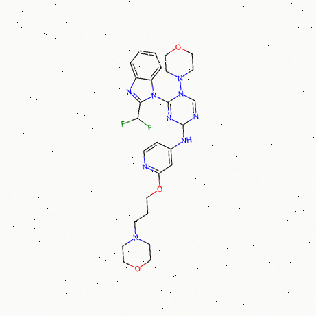 FC(F)c1nc2ccccc2n1C1=NC(Nc2ccnc(OCCCN3CCOCC3)c2)N=CN1N1CCOCC1